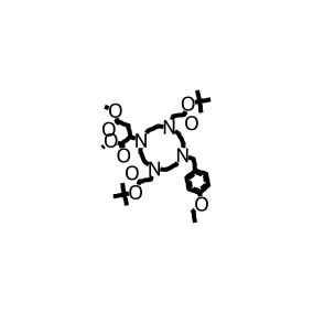 CCOc1ccc(CN2CCN(CC(=O)OC(C)(C)C)CCN(C(CC(=O)OC)C(=O)OC)CCN(CC(=O)OC(C)(C)C)CC2)cc1